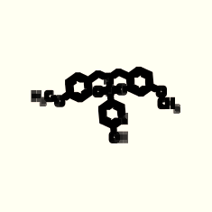 COc1ccc(CN(Cc2ccc(OC)cc2)S(=O)(=O)c2ccc(O)nc2)cc1